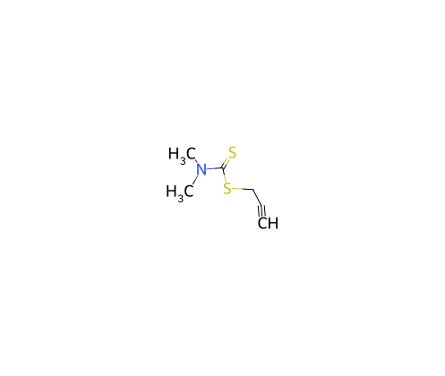 C#CCSC(=S)N(C)C